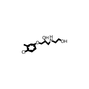 Cc1cc(OC[C@@H](O)CNCCO)ccc1Cl